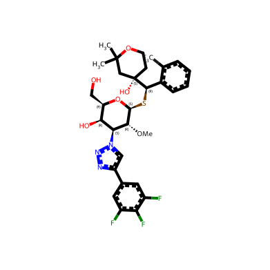 CO[C@@H]1[C@@H](n2cc(-c3cc(F)c(F)c(F)c3)nn2)[C@@H](O)[C@@H](CO)O[C@H]1S[C@H](c1ccccc1C(F)(F)F)[C@]1(O)CCOC(C)(C)C1